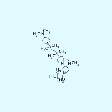 CN(C)C1CCN(C(C)(C)CCC(C)(C)c2ccnc(CN(C)C3CCN(C(=O)C(C)(C)C)CC3)c2)CC1